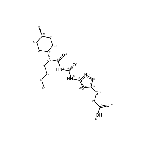 CCCCN(C(=O)NC(=O)Nc1ncc(SCC(=O)O)s1)[C@H]1CC[C@H](C)CC1